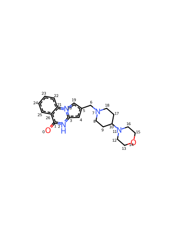 O=c1[nH]c2cc(CN3CCC(N4CCOCC4)CC3)cn2c2ccccc12